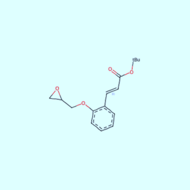 CC(C)(C)OC(=O)/C=C/c1ccccc1OCC1CO1